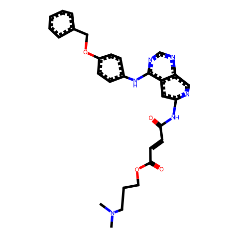 CN(C)CCCOC(=O)C=CC(=O)Nc1cc2c(Nc3ccc(OCc4ccccc4)cc3)ncnc2cn1